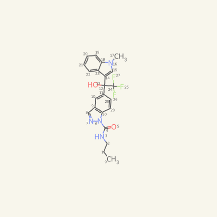 CCCNC(=O)n1ncc2cc(C(O)(c3cn(C)c4ccccc34)C(F)(F)F)ccc21